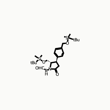 CC(C)(C)[Si](C)(C)OCc1ccc([C@H]2CC(=O)N(BC=O)[C@@H]2CO[Si](C)(C)C(C)(C)C)cc1